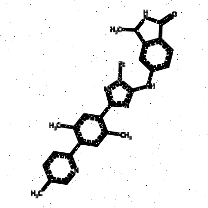 CCn1nc(-c2cc(C)c(-c3ccc(C)cn3)cc2C)nc1Nc1ccc2c(c1)C(C)NC2=O